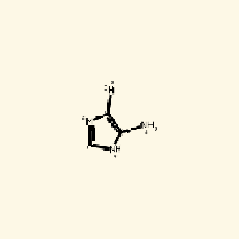 [2H]c1nc[nH]c1N